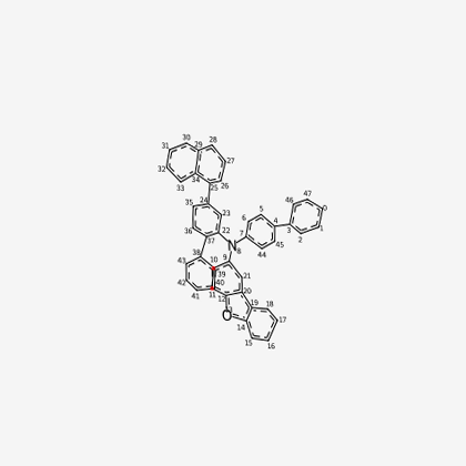 c1ccc(-c2ccc(N(c3ccc4oc5ccccc5c4c3)c3cc(-c4cccc5ccccc45)ccc3-c3ccccc3)cc2)cc1